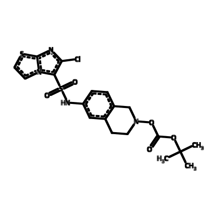 CC(C)(C)OC(=O)ON1CCc2cc(NS(=O)(=O)c3c(Cl)nc4sccn34)ccc2C1